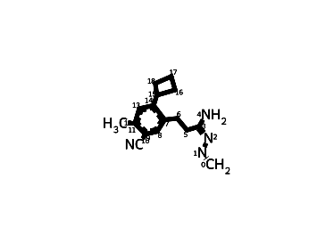 C=N/N=C(/N)CCc1cc(C#N)c(C)cc1C1CCC1